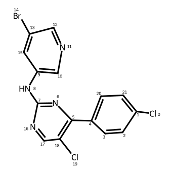 Clc1ccc(-c2nc(Nc3cncc(Br)c3)ncc2Cl)cc1